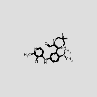 Cc1nccc(Nc2ccc(N(C)C)c(C3=C(C=O)OCC(F)(F)CN3)c2)c1Cl